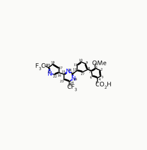 COc1ccc(C(=O)O)cc1-c1cccc(-c2nc(-c3ccc(C(F)(F)F)nc3)cc(C(F)(F)F)n2)c1